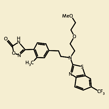 COCCOCCN(CCc1ccc(-c2noc(=O)[nH]2)c(C)c1)c1nc2ccc(C(F)(F)F)cc2s1